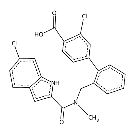 CN(Cc1ccccc1-c1ccc(C(=O)O)c(Cl)c1)C(=O)c1cc2ccc(Cl)cc2[nH]1